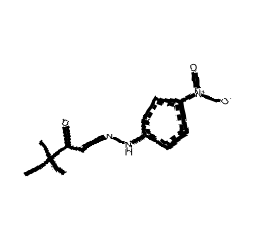 CC(C)(C)C(=O)C=NNc1ccc([N+](=O)[O-])cc1